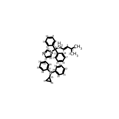 CC(C)C=C[SiH2]C(c1ccccc1)(c1ccccc1)n1ccnc1.c1ccc(B(c2ccccc2)C2CC2)cc1